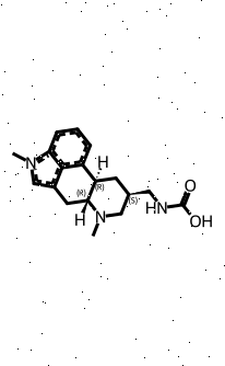 CN1C[C@H](CNC(=O)O)C[C@@H]2c3cccc4c3c(cn4C)C[C@H]21